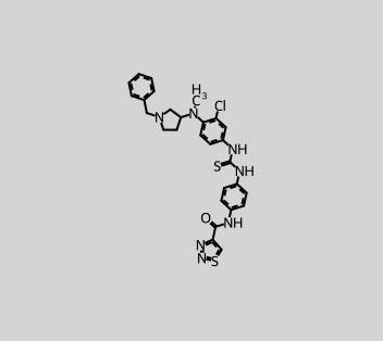 CN(c1ccc(NC(=S)Nc2ccc(NC(=O)c3csnn3)cc2)cc1Cl)C1CCN(Cc2ccccc2)C1